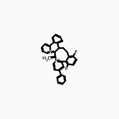 C=C1C2C(CCc3c(F)ccc(F)c3-c3cc(-c4ccccc4)cc[n+]31)c1ccccc1-c1cccc[n+]12